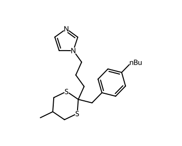 CCCCc1ccc(CC2(CCCn3ccnc3)SCC(C)CS2)cc1